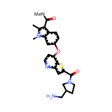 CNC(=O)c1c(C)n(C)c2cc(Oc3ccnc4cc(C(=O)N5CCC(CN)C5)sc34)ccc12